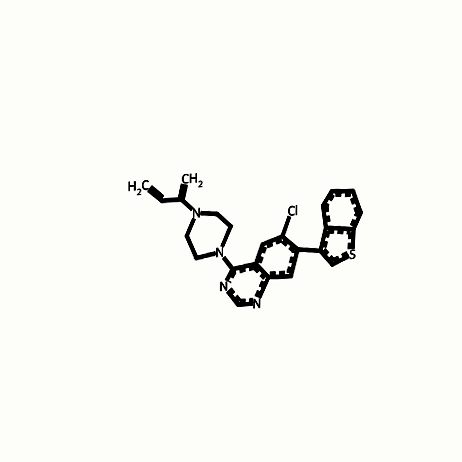 C=CC(=C)N1CCN(c2ncnc3cc(-c4csc5ccccc45)c(Cl)cc23)CC1